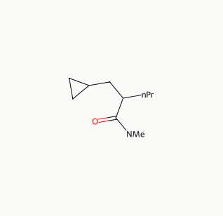 CCCC(CC1CC1)C(=O)NC